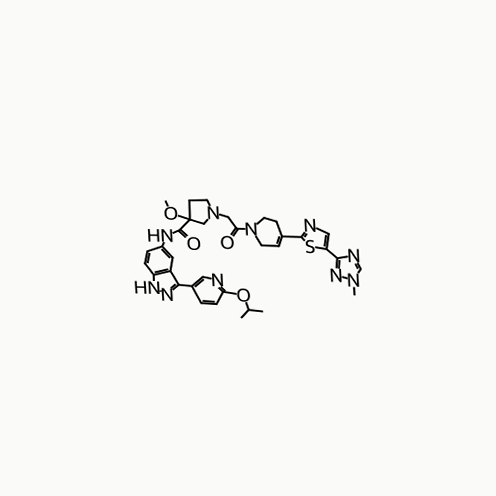 COC1(C(=O)Nc2ccc3[nH]nc(-c4ccc(OC(C)C)nc4)c3c2)CCN(CC(=O)N2CC=C(c3ncc(-c4ncn(C)n4)s3)CC2)C1